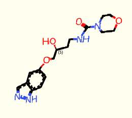 O=C(NCC[C@H](O)COc1ccc2[nH]ncc2c1)N1CCOCC1